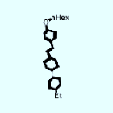 CCCCCCOc1ccc(CCC2=CCC([C@H]3CC[C@H](CC)CC3)CC2)cc1